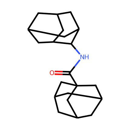 O=C(NC1C2CC3CC(C2)CC1C3)C12CC3CC(CC(C3)C1)C2